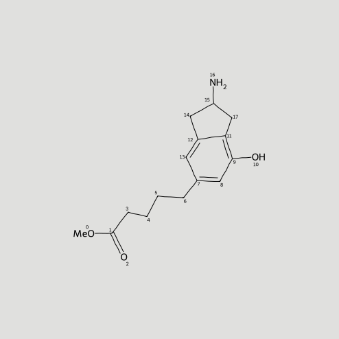 COC(=O)CCCCc1cc(O)c2c(c1)CC(N)C2